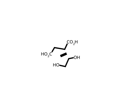 C=C.O=C(O)CCC(=O)O.OCCO